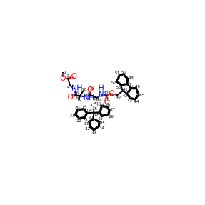 COC(=O)CNC(=O)C(C)(C)NC(=O)[C@@H](CSC(c1ccccc1)(c1ccccc1)c1ccccc1)NC(=O)OCC1c2ccccc2-c2ccccc21